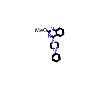 COc1nc(N2CCN(c3ccccc3)CC2)c2ccccc2n1